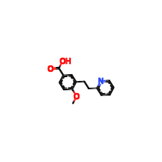 COc1ccc(C(=O)O)cc1CCc1ccccn1